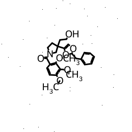 COc1ccc(C(=O)N2CCC(CCO)(C3=COC(Cc4ccccc4)O3)C2)c(OC)c1OC